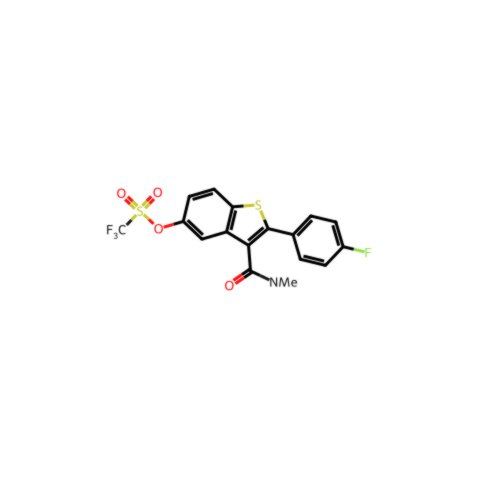 CNC(=O)c1c(-c2ccc(F)cc2)sc2ccc(OS(=O)(=O)C(F)(F)F)cc12